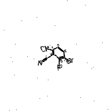 N#Cc1c(Cl)ccc(Br)c1F